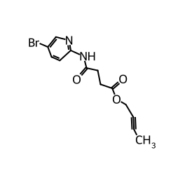 CC#CCOC(=O)CCC(=O)Nc1ccc(Br)cn1